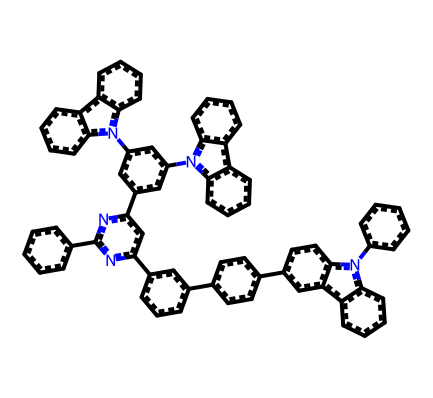 c1ccc(-c2nc(-c3cccc(-c4ccc(-c5ccc6c(c5)c5ccccc5n6-c5ccccc5)cc4)c3)cc(-c3cc(-n4c5ccccc5c5ccccc54)cc(-n4c5ccccc5c5ccccc54)c3)n2)cc1